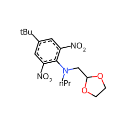 CCCN(CC1OCCO1)c1c([N+](=O)[O-])cc(C(C)(C)C)cc1[N+](=O)[O-]